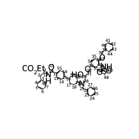 CCOC(=O)[C@H](Cc1ccccc1)NC(=O)c1ccc(C2CCC(N(Cc3ccccc3)C[C@H](O)COc3ccc(OCc4ccccc4)c(NS(C)(=O)=O)c3)CC2)cc1